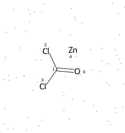 O=C(Cl)Cl.[Zn]